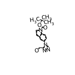 CC(C)(C)OC(=O)n1ccc2cc(-n3cnnc3C=O)ccc21